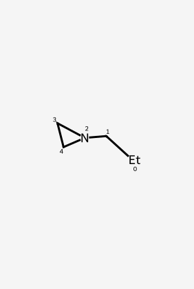 CCCN1CC1